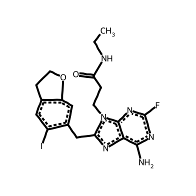 CCNC(=O)CCn1c(Cc2cc3c(cc2I)CCO3)nc2c(N)nc(F)nc21